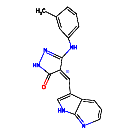 Cc1cccc(NC2=NNC(=O)/C2=C\c2c[nH]c3ncccc23)c1